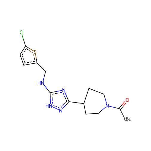 CC(C)(C)C(=O)N1CCC(c2n[nH]c(NCc3ccc(Cl)s3)n2)CC1